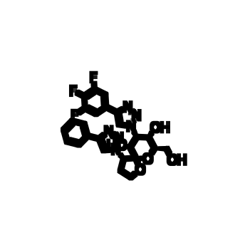 OC[C@H]1O[C@]2(OCC[C@H]2n2cc(-c3ccccc3)nn2)[C@H](O)[C@@H](n2cc(-c3cc(F)c(F)c(F)c3)nn2)[C@H]1O